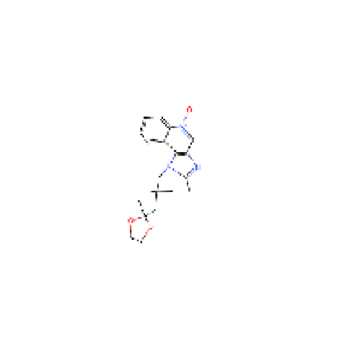 Cc1nc2c[n+]([O-])c3ccccc3c2n1CC(C)(C)CC1(C)OCCO1